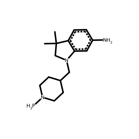 CC1(C)CN(CC2CCN(P)CC2)c2cc(N)ccc21